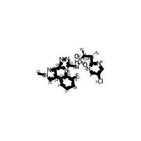 C[C@H](c1ncc(Cl)cn1)[C@H](C)S(=O)(=O)Nc1nnc2c3nn(C)cc3c3cccc(F)c3n12